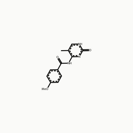 COc1ccc(C(=O)Nc2nc(=O)[nH]cc2C)cc1